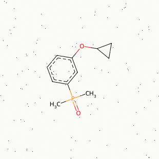 CP(C)(=O)c1cc[c]c(OC2CC2)c1